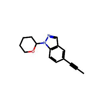 CC#Cc1ccc2c(cnn2C2CCCCO2)c1